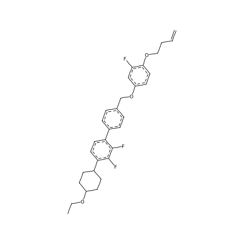 C=CCCOc1ccc(OCc2ccc(-c3ccc(C4CCC(OCC)CC4)c(F)c3F)cc2)cc1F